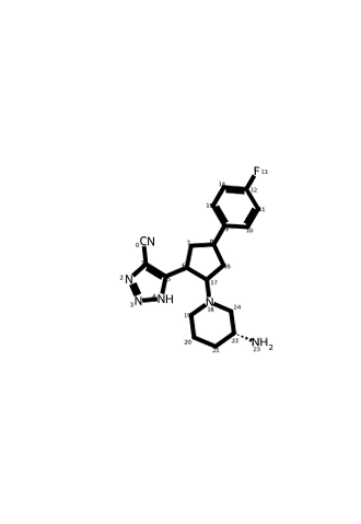 N#Cc1nn[nH]c1C1CC(c2ccc(F)cc2)CC1N1CCC[C@@H](N)C1